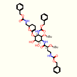 CCCCOC1C(NC(=O)[C@H](CCNC(=O)OCc2ccccc2)OCCCC)[C@H](O)C(O)C(OC2=CCCC(CNC(=O)OCc3ccccc3)O2)[C@H]1NC(=O)OCc1ccccc1